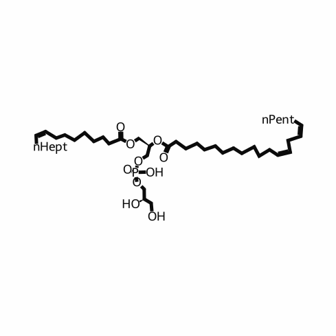 CCCCC/C=C\C/C=C\CCCCCCCCCCCC(=O)O[C@H](COC(=O)CCCCCCC/C=C\CCCCCCC)COP(=O)(O)OC[C@@H](O)CO